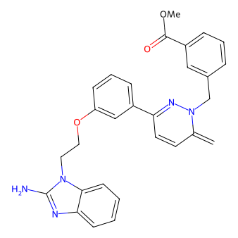 C=C1C=CC(c2cccc(OCCn3c(N)nc4ccccc43)c2)=NN1Cc1cccc(C(=O)OC)c1